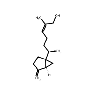 C=C1CC[C@@]2([C@H](C)CC/C=C(/C)CO)C[C@@H]12